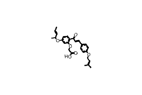 CC=CC(C)Oc1ccc(C(=O)C=Cc2ccc(OCC=C(C)C)cc2)c(OCC(=O)O)c1